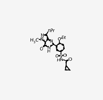 CCCc1nn(C)c2c(=O)[nH]c(-c3cc(S(=O)(=O)NC(=O)C4CC4)ccc3OCC)nc12